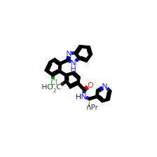 CCC[C@H](NC(=O)c1ccc(-c2c(Cl)cccc2-c2nc3ccccc3[nH]2)c(C(=O)O)c1)c1cccnc1